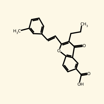 CCCc1c(/C=C/c2cccc(C)c2)oc2ccc(C(=O)O)cc2c1=O